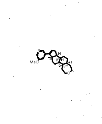 COc1cncc(C2=CC[C@H]3[C@@H]4CC[C@H]5CCOCC[C@]5(C)[C@H]4CC[C@]23C)c1